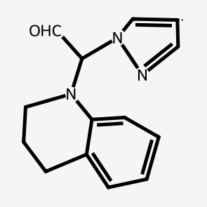 O=CC(N1CCCc2ccccc21)n1c[c]cn1